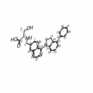 C[C@H](O)[C@H](NCc1cnc2c(N3CCc4c(-c5ccccc5)cccc43)ncnc2c1)C(=O)O